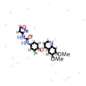 COc1cc2nccc(Oc3ccc(NC(=O)Nc4ccon4)cc3F)c2cc1OC